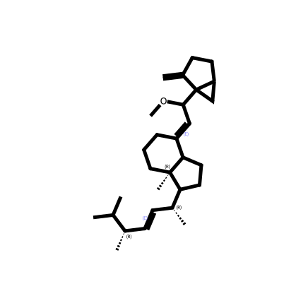 C=C1CCC2CC12C(/C=C1\CCC[C@@]2(C)C1CCC2[C@H](C)/C=C/[C@H](C)C(C)C)OC